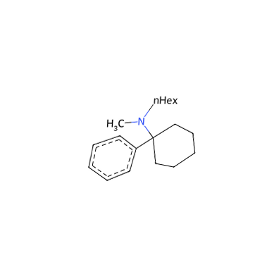 CCCCCCN(C)C1(c2ccccc2)CCCCC1